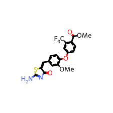 COC(=O)c1ccc(Oc2ccc(/C=C3/SC(N)=NC3=O)cc2OC)cc1C(F)(F)F